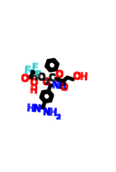 N=C(N)c1ccc(C(=O)NC(Oc2ccccc2)(C(=O)O)C(=O)CCO)cc1.O=C(O)C(F)(F)F